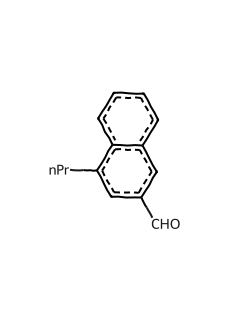 CCCc1cc(C=O)cc2ccccc12